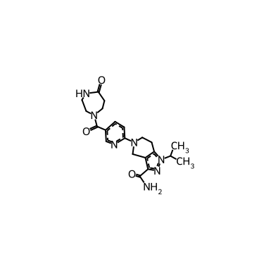 CC(C)n1nc(C(N)=O)c2c1CCN(c1ccc(C(=O)N3CCNC(=O)CC3)cn1)C2